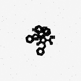 CC(N(C)C(=O)C1C(C(=O)O)N(Cc2ccccc2)C(=O)N1Cc1ccccc1)C(O)(Cc1ccccc1)Cc1ccccc1